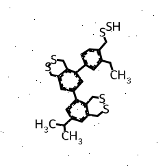 CCc1cc(-c2cc(-c3cc(C(C)C)cc4c3CSSC4)cc3c2CSSC3)ccc1CSS